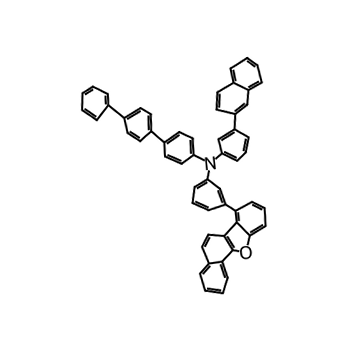 c1ccc(-c2ccc(-c3ccc(N(c4cccc(-c5ccc6ccccc6c5)c4)c4cccc(-c5cccc6oc7c8ccccc8ccc7c56)c4)cc3)cc2)cc1